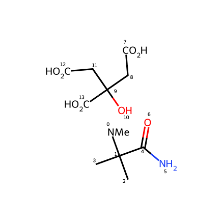 CNC(C)(C)C(N)=O.O=C(O)CC(O)(CC(=O)O)C(=O)O